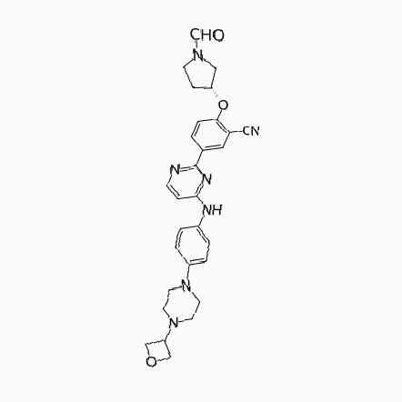 N#Cc1cc(-c2nccc(Nc3ccc(N4CCN(C5COC5)CC4)cc3)n2)ccc1O[C@@H]1CCN(C=O)C1